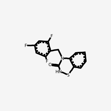 O=C1NSc2ccccc2N1Cc1c(F)cc(F)cc1F